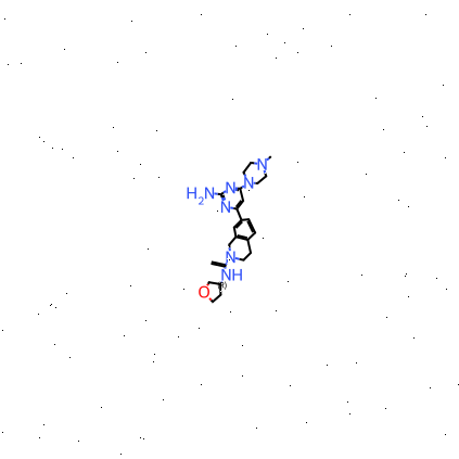 C=C(N[C@@H]1CCOC1)N1CCc2ccc(-c3cc(N4CCN(C)CC4)nc(N)n3)cc2C1